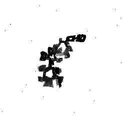 O=C[C@H]1CC[C@]2(CC1)CN(c1cccc(F)n1)C(=O)O2